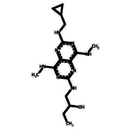 CCC(O)CNc1nc(NC)c2nc(NCC3CC3)nc(NC)c2n1